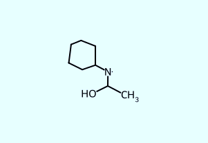 CC(O)[N]C1CCCCC1